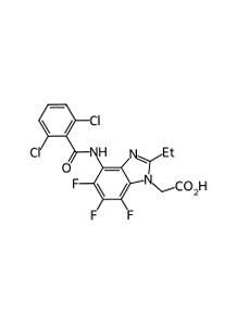 CCc1nc2c(NC(=O)c3c(Cl)cccc3Cl)c(F)c(F)c(F)c2n1CC(=O)O